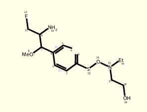 C=C(/C=C\C(=C/C)C(OC)C(N)CF)SON(CC)CCO